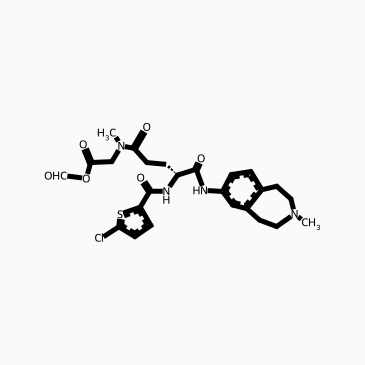 CN1CCc2ccc(NC(=O)[C@@H](CCC(=O)N(C)CC(=O)OC=O)NC(=O)c3ccc(Cl)s3)cc2CC1